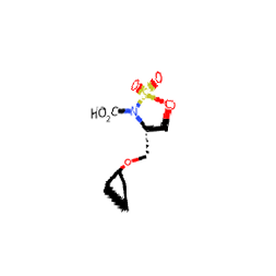 O=C(O)N1[C@@H](COC2CC2)COS1(=O)=O